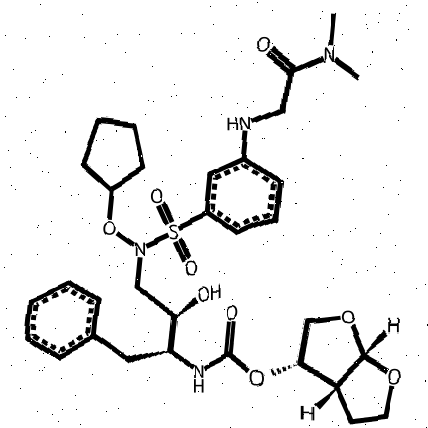 CN(C)C(=O)CNc1cccc(S(=O)(=O)N(C[C@@H](O)[C@H](Cc2ccccc2)NC(=O)O[C@@H]2CO[C@@H]3OCC[C@@H]32)OC2CCCC2)c1